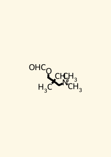 CN(C)CC(C)(C)COC=O